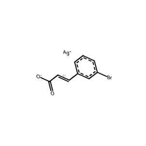 O=C([O-])/C=C/c1cccc(Br)c1.[Ag+]